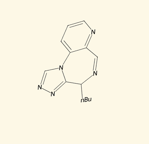 CCCCC1N=Cc2ncccc2-n2cnnc21